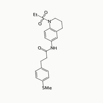 CCS(=O)(=O)N1CCCc2cc(NC(=O)CCc3ccc(SC)cc3)ccc21